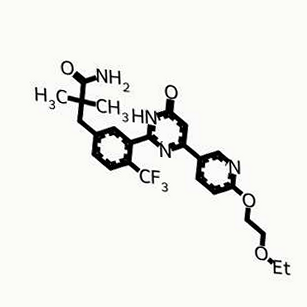 CCOCCOc1ccc(-c2cc(=O)[nH]c(-c3cc(CC(C)(C)C(N)=O)ccc3C(F)(F)F)n2)cn1